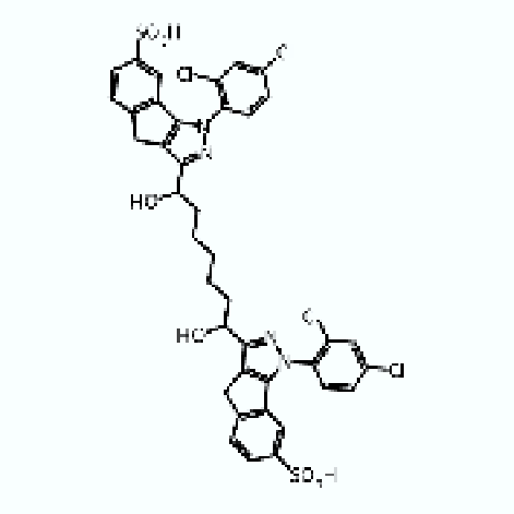 O=S(=O)(O)c1ccc2c(c1)-c1c(c(C(O)CCCCCC(O)c3nn(-c4ccc(Cl)cc4Cl)c4c3Cc3ccc(S(=O)(=O)O)cc3-4)nn1-c1ccc(Cl)cc1Cl)C2